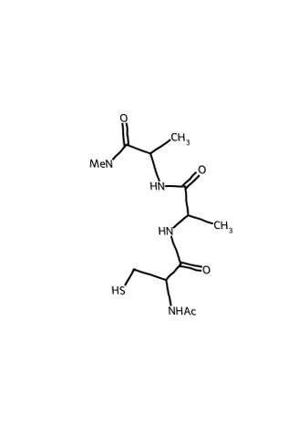 CNC(=O)C(C)NC(=O)C(C)NC(=O)C(CS)NC(C)=O